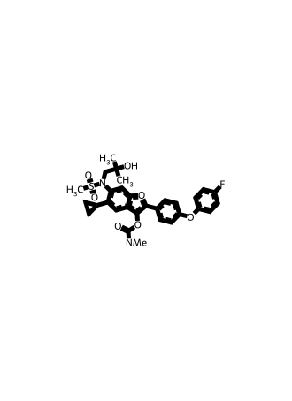 CNC(=O)Oc1c(-c2ccc(Oc3ccc(F)cc3)cc2)oc2cc(N(CC(C)(C)O)S(C)(=O)=O)c(C3CC3)cc12